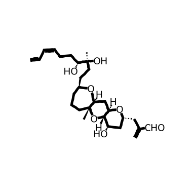 C=C/C=C\CC[C@@H](O)[C@@](C)(O)CC[C@@H]1CCC[C@@]2(C)O[C@H]3[C@@H](O)C[C@@H](CC(=C)C=O)O[C@@H]3C[C@@H]2O1